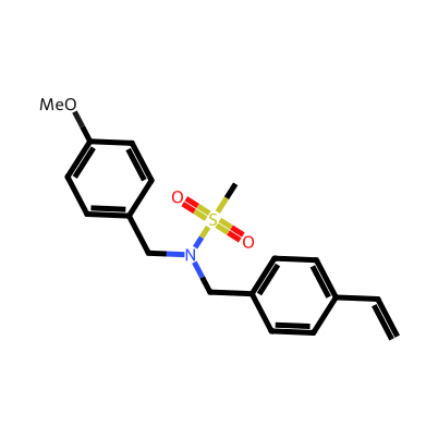 C=Cc1ccc(CN(Cc2ccc(OC)cc2)S(C)(=O)=O)cc1